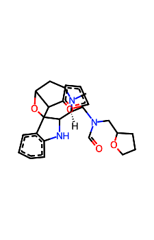 CN1CCC2OC3(c4ccccc4NC3[C@@H]1CN(C=O)CC1CCCO1)C2c1ccco1